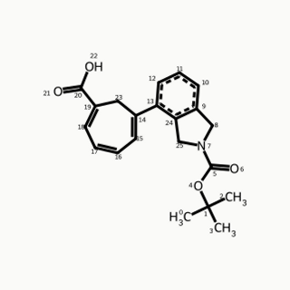 CC(C)(C)OC(=O)N1Cc2cccc(C3=CC=CC=C(C(=O)O)C3)c2C1